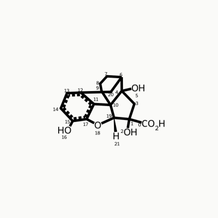 O=C(O)C1(O)CC2(O)C3CCCC24c2c(ccc(O)c2O[C@@H]14)C3